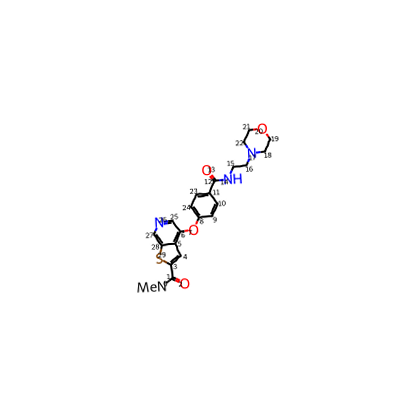 CNC(=O)c1cc2c(Oc3ccc(C(=O)NCCN4CCOCC4)cc3)cncc2s1